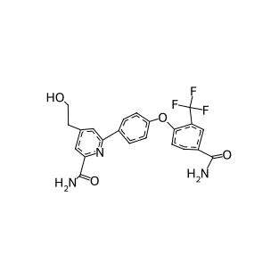 NC(=O)c1ccc(Oc2ccc(-c3cc(CCO)cc(C(N)=O)n3)cc2)c(C(F)(F)F)c1